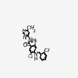 Cc1cc(N[S+]([O-])c2cc(Cl)c(NCc3ccccc3Cl)cc2F)ncn1